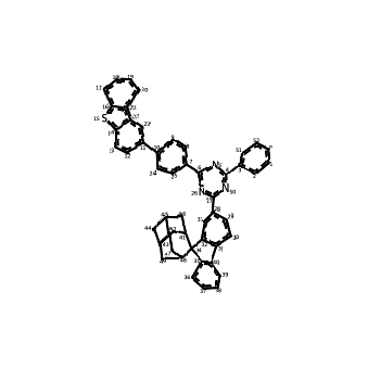 c1ccc(-c2nc(-c3ccc(-c4ccc5sc6ccccc6c5c4)cc3)nc(-c3ccc4c(c3)C3(c5ccccc5-4)C4CC5CC(C4)CC3C5)n2)cc1